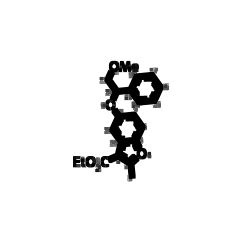 CCOC(=O)c1c(C)oc2ccc(OC(COC)c3ccccc3)cc12